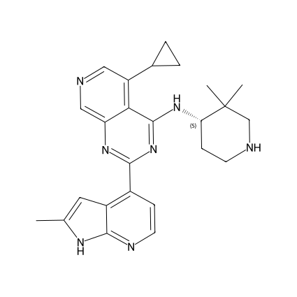 Cc1cc2c(-c3nc(N[C@H]4CCNCC4(C)C)c4c(C5CC5)cncc4n3)ccnc2[nH]1